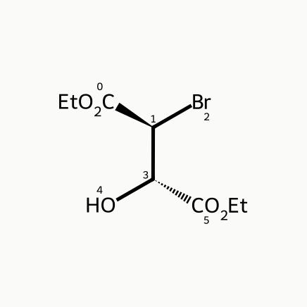 CCOC(=O)[C@@H](Br)[C@@H](O)C(=O)OCC